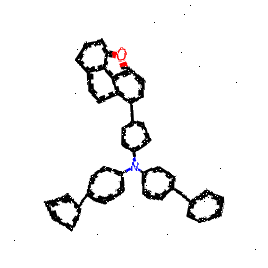 c1ccc(-c2ccc(N(c3ccc(-c4ccccc4)cc3)c3ccc(-c4ccc5oc6cccc7ccc4c5c76)cc3)cc2)cc1